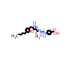 CCCCCc1ccc(Cc2[nH]nc(C(C)=NNC(=S)Nc3ccc(C(=O)O)cc3)c2O)cc1